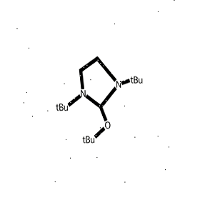 CC(C)(C)OC1N(C(C)(C)C)CCN1C(C)(C)C